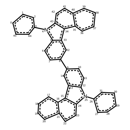 c1ccc(-n2c3ccc(-c4ccc5c(c4)c4c6ccccc6ccc4n5-c4ccccc4)cc3c3c4ccccc4ccc32)cc1